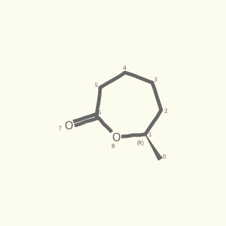 C[C@@H]1CCCCC(=O)O1